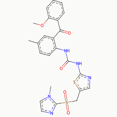 COc1ccccc1C(=O)c1cc(C)ccc1NC(=O)Nc1ncc(CS(=O)(=O)c2nccn2C)s1